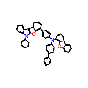 c1ccc(-c2ccc(N(c3ccc(-c4cccc5c4oc4c5c5ccccc5n4-c4ccccc4)cc3)c3cccc4c3oc3ccccc34)cc2)cc1